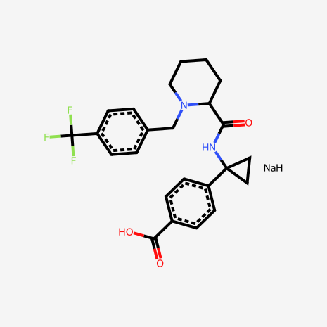 O=C(O)c1ccc(C2(NC(=O)C3CCCCN3Cc3ccc(C(F)(F)F)cc3)CC2)cc1.[NaH]